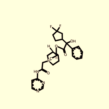 O=C(C[N+]12CCC(CC1)[C@@H](OC(=O)C(O)(c1ccccc1)C1CCC(F)(F)C1)C2)Nc1ccncn1